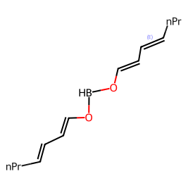 CCCC=CC=COBOC=C/C=C/CCC